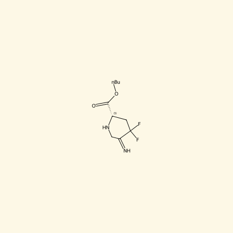 CCCCOC(=O)[C@@H]1CC(F)(F)C(=N)CN1